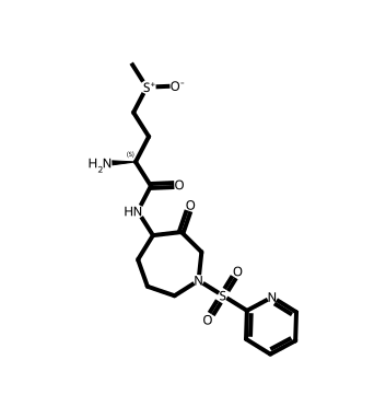 C[S+]([O-])CC[C@H](N)C(=O)NC1CCCN(S(=O)(=O)c2ccccn2)CC1=O